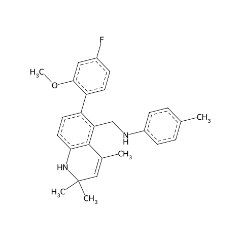 COc1cc(F)ccc1-c1ccc2c(c1CNc1ccc(C)cc1)C(C)=CC(C)(C)N2